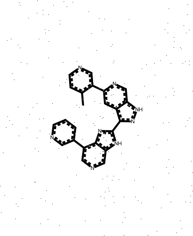 Cc1ccncc1-c1cc2c(-c3nc4c(-c5cccnc5)cncc4[nH]3)n[nH]c2cn1